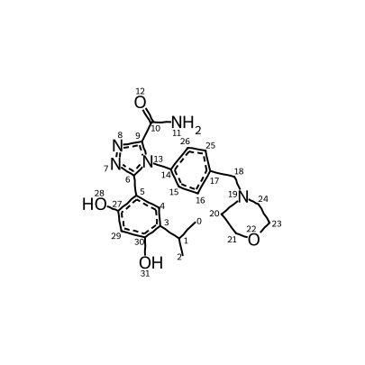 CC(C)c1cc(-c2nnc(C(N)=O)n2-c2ccc(CN3CCOCC3)cc2)c(O)cc1O